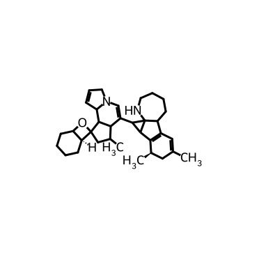 CC1=CC2=C(C3C(C4=CN5CC=CC5C5C4C(C)CC54OC5CCCC[C@@H]54)C34NCCCCC24)[C@H](C)C1